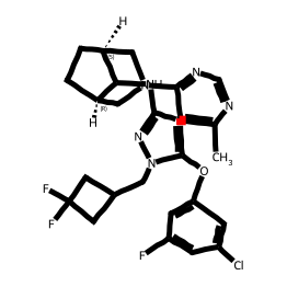 Cc1cc(N2C[C@H]3CC[C@@H](C2)C3Nc2nc(Oc3cc(F)cc(Cl)c3)n(CC3CC(F)(F)C3)n2)ncn1